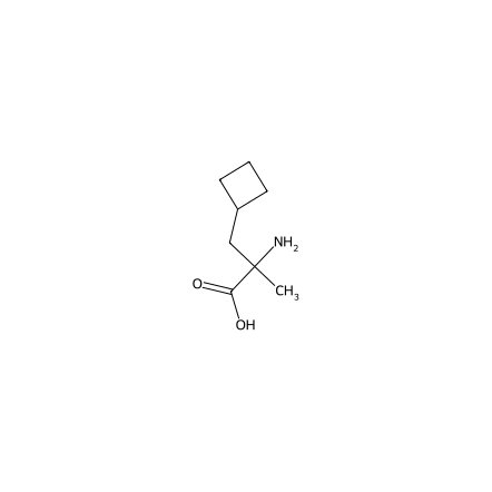 CC(N)(CC1CCC1)C(=O)O